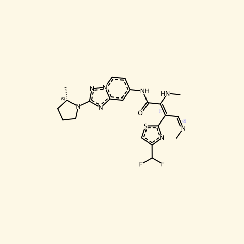 C/N=C\C(=C(/NC)C(=O)Nc1ccn2nc(N3CCC[C@@H]3C)nc2c1)c1nc(C(F)F)cs1